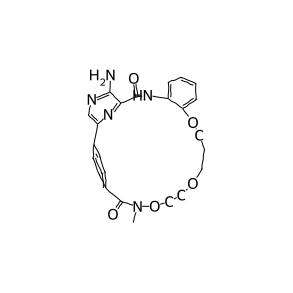 CN1OCCOCCCOc2ccccc2NC(=O)c2nc(cnc2N)-c2ccc(cc2)C1=O